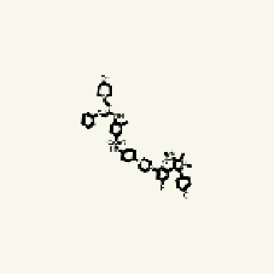 Cc1cc(S(=O)(=O)Nc2ccc(N3CCN(c4cc(F)cc(-c5c(S(C)(=O)=O)c(C)n(C)c5-c5ccc(Cl)cc5)c4)CC3)cc2)ccc1N[C@H](CCN1CCC(O)CC1)CSc1ccccc1